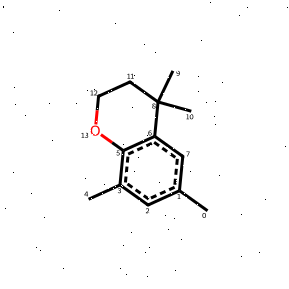 Cc1cc(C)c2c(c1)C(C)(C)CCO2